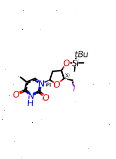 Cc1cn([C@H]2CC(O[Si](C)(C)C(C)(C)C)[C@@H](CI)O2)c(=O)[nH]c1=O